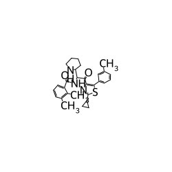 Cc1cccc(-c2sc(C3CC3)nc2C(=O)C(NC(=O)c2cccc(C)c2C)C2CCCCN2)c1